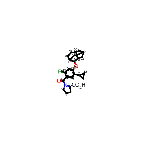 O=C(O)[C@@H]1CCCN1C(=O)c1cc(C2CC2)c(OC2C3CCC4CC(C3)CC42)cc1F